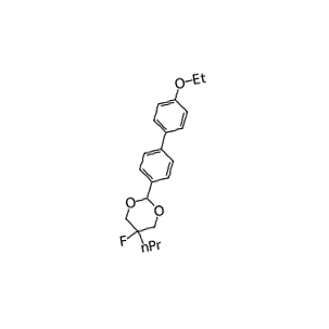 CCCC1(F)COC(c2ccc(-c3ccc(OCC)cc3)cc2)OC1